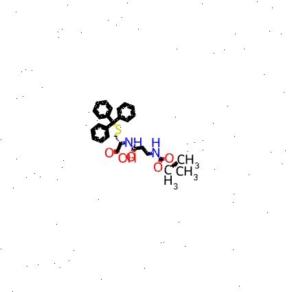 CC(C)(C)OC(=O)NCCC(=O)N[C@@H](CSC(c1ccccc1)(c1ccccc1)c1ccccc1)C(=O)O